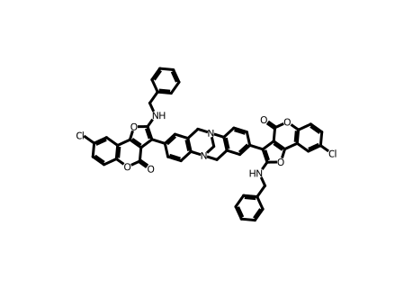 O=c1oc2ccc(Cl)cc2c2oc(NCc3ccccc3)c(-c3ccc4c(c3)CN3CN4Cc4cc(-c5c(NCc6ccccc6)oc6c5c(=O)oc5ccc(Cl)cc56)ccc43)c12